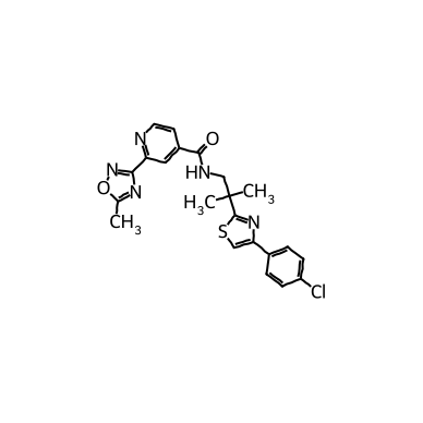 Cc1nc(-c2cc(C(=O)NCC(C)(C)c3nc(-c4ccc(Cl)cc4)cs3)ccn2)no1